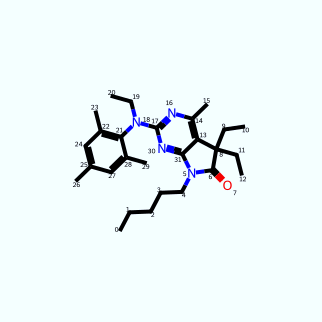 CCCCCN1C(=O)C(CC)(CC)c2c(C)nc(N(CC)c3c(C)cc(C)cc3C)nc21